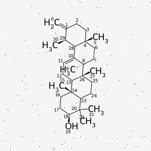 C=C1CC[C@]2(C)CC[C@]3(C)C(=CCC4[C@@]5(C)CC[C@H](O)C(C)(C)C5CC[C@]43C)C2[C@H]1C